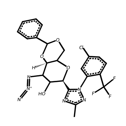 Cc1nc([C@@H]2OC3COC(c4ccccc4)O[C@@H]3C(N=[N+]=[N-])C2O)n(-c2cc(Cl)ccc2C(F)(F)F)n1